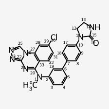 CN(c1cccc(-c2ccc(N3CCNC3=O)cc2)c1)c1nc2nncn2c2cc(Cl)ccc12